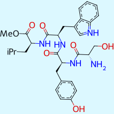 COC(=O)[C@H](CC(C)C)NC(=O)[C@@H](Cc1c[nH]c2ccccc12)NC(=O)[C@H](Cc1ccc(O)cc1)NC(=O)[C@@H](N)CO